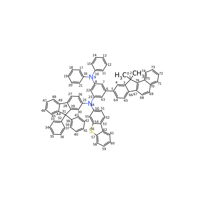 CC1(C)c2cc(-c3cc(N(c4ccccc4)c4ccccc4)cc(N(c4ccc5c(c4)C(c4ccccc4)(c4ccccc4)c4ccccc4-5)c4ccc5c(c4)sc4ccccc45)c3)ccc2-c2ccc3ccccc3c21